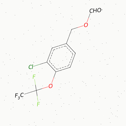 O=[C]OCc1ccc(OC(F)(F)C(F)(F)F)c(Cl)c1